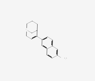 COc1ccc2cc(C3=CCN4CCCC3C4)ccc2c1.Cl